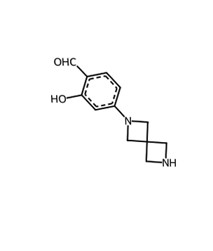 O=Cc1ccc(N2CC3(CNC3)C2)cc1O